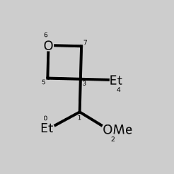 [CH2]CC(OC)C1(CC)COC1